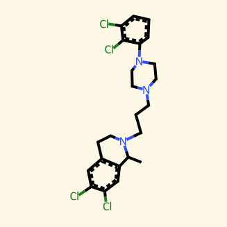 CC1c2cc(Cl)c(Cl)cc2CCN1CCCN1CCN(c2cccc(Cl)c2Cl)CC1